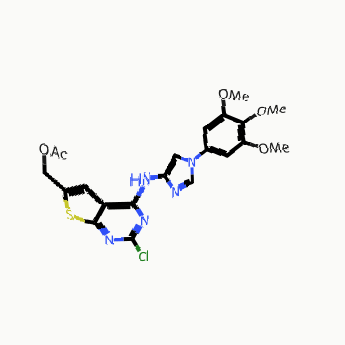 COc1cc(-n2cnc(Nc3nc(Cl)nc4sc(COC(C)=O)cc34)c2)cc(OC)c1OC